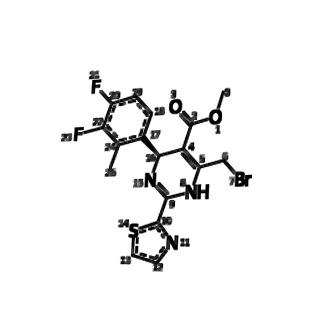 COC(=O)C1=C(CBr)NC(c2nccs2)=N[C@H]1c1ccc(F)c(F)c1C